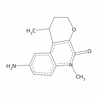 CC1CCOc2c1c1cc(N)ccc1n(C)c2=O